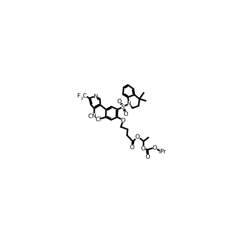 CC(C)OC(=O)OC(C)OC(=O)CCCOc1cc(Cl)c(-c2cnc(C(F)(F)F)cc2C#N)cc1S(=O)(=O)N1CCC(C)(C)c2ccccc21